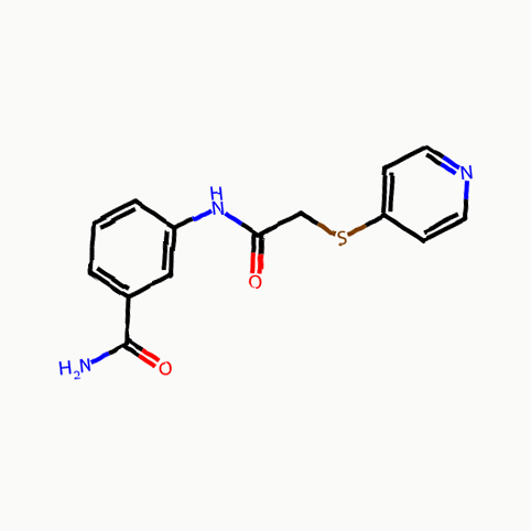 NC(=O)c1cccc(NC(=O)CSc2ccncc2)c1